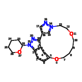 c1cc2c3cc1OCCCCOCCn1cc(cn1)-c3nn2C1CCCCO1